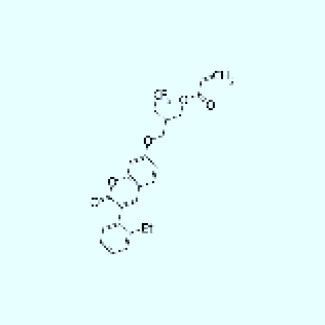 C=CC(=O)OCC(COc1ccc2cc(-c3ccccc3CC)c(=O)oc2c1)CC(F)(F)F